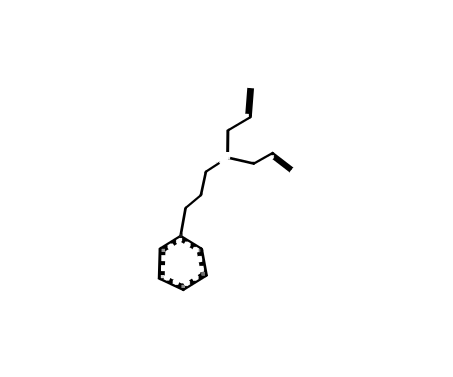 C=CC[SiH](CC=C)CCCc1ccccc1